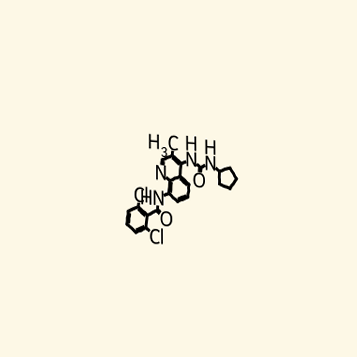 Cc1cnc2c(NC(=O)c3c(Cl)cccc3Cl)cccc2c1NC(=O)NC1CCCC1